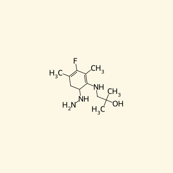 CC1=C(F)C(C)=C(NCC(C)(C)O)C(NN)C1